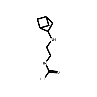 O=C(O)NCCNC1CC2CC1C2